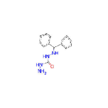 NNC(=O)NNC(c1ccccc1)c1ccccc1